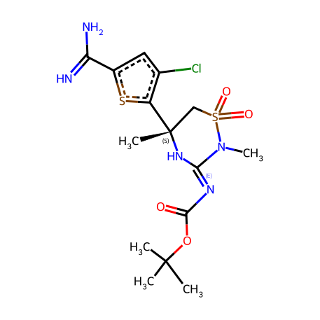 CN1/C(=N/C(=O)OC(C)(C)C)N[C@](C)(c2sc(C(=N)N)cc2Cl)CS1(=O)=O